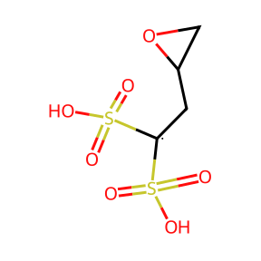 O=S(=O)(O)[C](CC1CO1)S(=O)(=O)O